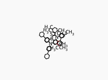 CCc1ccc(N2c3cc(C(C)(C)C)cc4c3B(c3cc(C5CCCCC5)ccc3N4c3ccc(C4CCCCC4)cc3)c3sc4c(c32)C(C)(C)CCC4(C)C)c(-c2ccccc2)c1